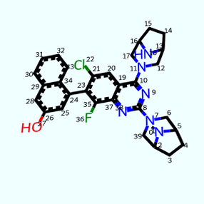 CN1C2CCC1CN(c1nc(N3CC4CCC(C3)N4)c3cc(Cl)c(-c4cc(O)cc5ccccc45)c(F)c3n1)C2